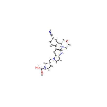 N#Cc1ccc(-c2cc3c(ccn3C[C@H]3CCN(C(=O)O)C3)nc2N2CCOCC2)cc1